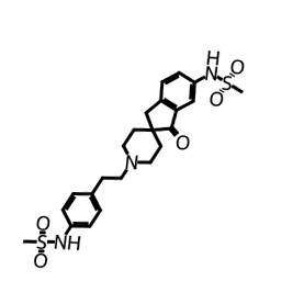 CS(=O)(=O)Nc1ccc(CCN2CCC3(CC2)Cc2ccc(NS(C)(=O)=O)cc2C3=O)cc1